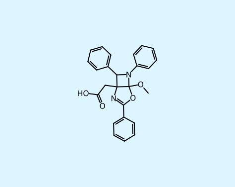 COC12OC(c3ccccc3)=NC1(CC(=O)O)C(c1ccccc1)N2c1ccccc1